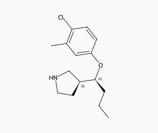 CCC[C@H](Oc1ccc(Cl)c(C)c1)[C@H]1CCNC1